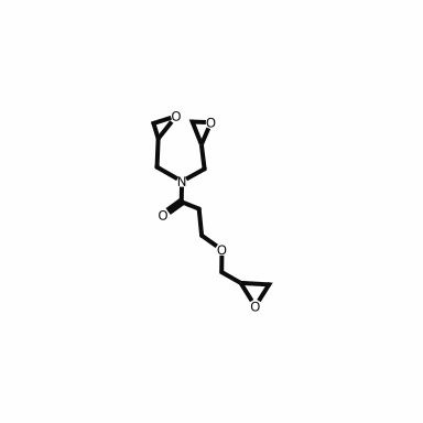 O=C(CCOCC1CO1)N(CC1CO1)CC1CO1